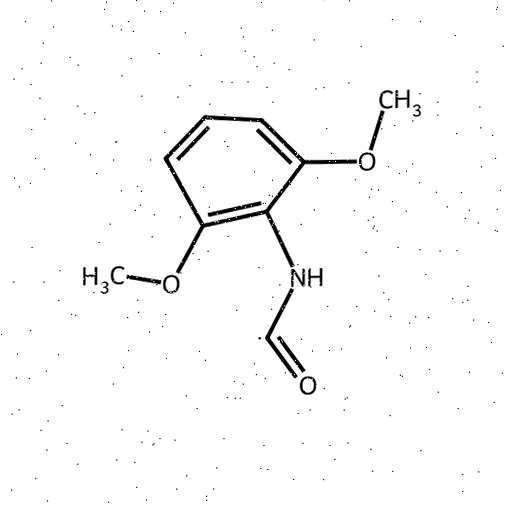 COc1cccc(OC)c1N[C]=O